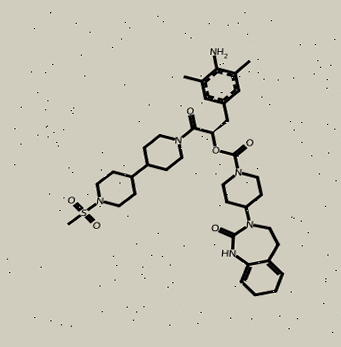 Cc1cc(C[C@@H](OC(=O)N2CCC(N3CCC4=CCCC=C4NC3=O)CC2)C(=O)N2CCC(C3CCN(S(C)(=O)=O)CC3)CC2)cc(C)c1N